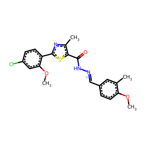 COc1ccc(/C=N/NC(=O)c2sc(-c3ccc(Cl)cc3OC)nc2C)cc1C